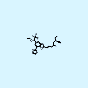 C#CC(CC)CC(C)C/C=C/c1nc2cc(C(OCC)C(F)(F)F)cc(-c3nccs3)c2o1